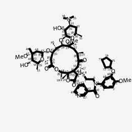 COc1ccc(N(CCS[C@@H]2C(=O)O[C@@]3(C)[C@H]2[C@@H](C)C(=O)[C@H](C)C[C@@](C)(OC)[C@H](O[C@@H]2O[C@H](C)C[C@H](N(C)C)[C@H]2O)[C@@H](C)[C@H](O[C@H]2C[C@@](C)(OC)[C@@H](O)[C@H](C)O2)[C@@H](C)C(=O)O[C@@H]3I)C(=O)c2cccnc2)cc1OC1CCCC1